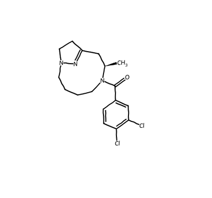 C[C@@H]1CC2=NN(CCCCN1C(=O)c1ccc(Cl)c(Cl)c1)CC2